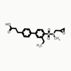 CCc1cc(-c2ccc(CCC(=O)O)cc2)ccc1S(=O)(=O)N(C)CC1CO1